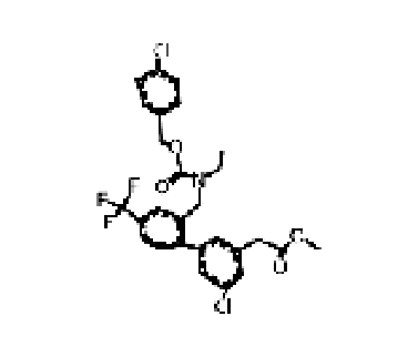 CCN(Cc1cc(C(F)(F)F)ccc1-c1cc(Cl)cc(CC(=O)OC)c1)C(=O)OCc1ccc(Cl)cc1